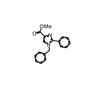 COC(=O)c1cn(Cc2ccccc2)c(-c2ccccc2)n1